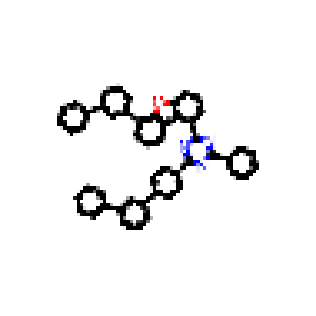 c1ccc(-c2cccc(-c3ccc(-c4nc(-c5ccccc5)nc(-c5cccc6oc7c(-c8cccc(-c9ccccc9)c8)cccc7c56)n4)cc3)c2)cc1